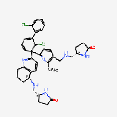 COc1nc(C2(c3ccc4c(n3)CCC[C@@H]4NC[C@H]3CCC(=O)N3)C=CC=C(c3ccccc3Cl)C2Cl)ccc1CNC[C@@H]1CCC(=O)N1